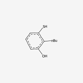 CCCCc1c(O)cccc1S